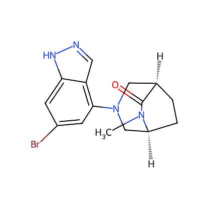 CN1C(=O)[C@@H]2CC[C@H]1CN(c1cc(Br)cc3[nH]ncc13)C2